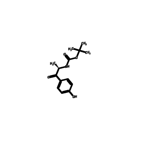 C[C@H](NC(=O)OC(C)(C)C)C(=O)c1ccc(O)cc1